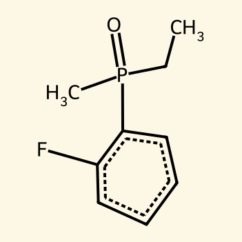 CCP(C)(=O)c1ccccc1F